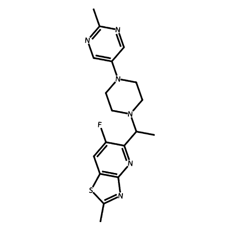 Cc1ncc(N2CCN(C(C)c3nc4nc(C)sc4cc3F)CC2)cn1